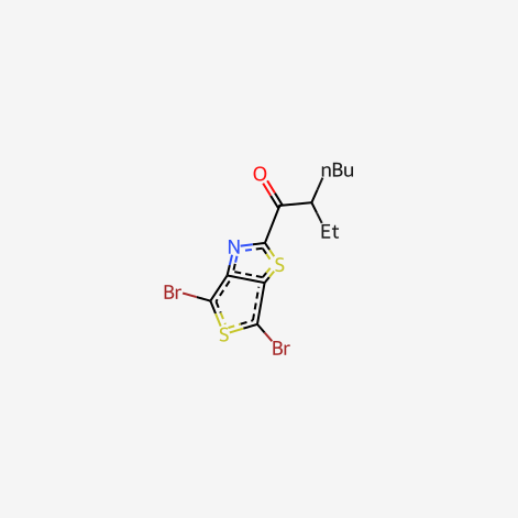 CCCCC(CC)C(=O)c1nc2c(Br)sc(Br)c2s1